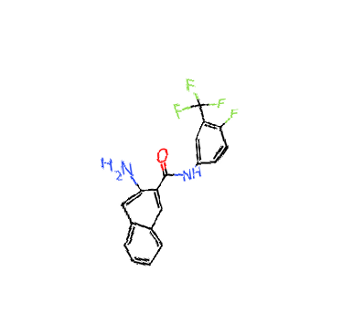 Nc1cc2ccccc2cc1C(=O)Nc1ccc(F)c(C(F)(F)F)c1